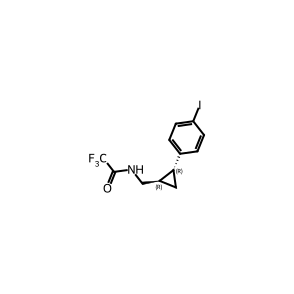 O=C(NC[C@@H]1C[C@H]1c1ccc(I)cc1)C(F)(F)F